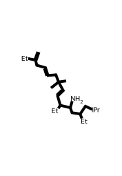 C=C(CC)CC=CCC(C)(C)/C=C/C(CC)C(N)CC(CC)CC(C)C